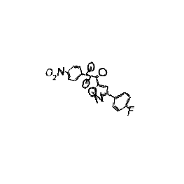 O=C(c1cc(-c2ccc(F)cc2)no1)S(=O)(=O)c1ccc([N+](=O)[O-])cc1